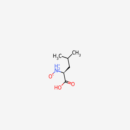 CC(C)C[C@H]([NH2+][O-])C(=O)O